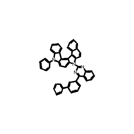 c1ccc(-c2cccc(-c3nc(-n4c5ccc6ccccc6c5c5c6c7ccccc7n(-c7ccccc7)c6ccc54)nc4ccccc34)c2)cc1